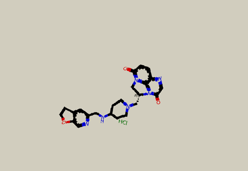 Cl.O=c1ccc2ncc(=O)n3c2n1C[C@H]3CN1CCC(NCc2cc3c(cn2)OCC3)CC1